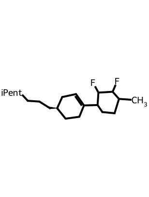 CCCC(C)CCC[C@H]1CC=C(C2CCC(C)C(F)C2F)CC1